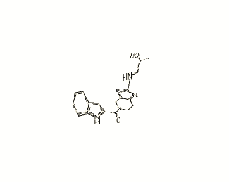 CC(O)CNc1nc2c(s1)CN(C(=O)c1cc3ccccc3[nH]1)CC2